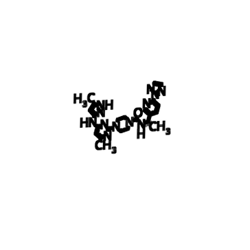 Cc1cc(Nc2cc(C)[nH]n2)nc(N2CCN(C(=O)N[C@@H](C)c3ccc(-n4nccn4)nc3)CC2)n1